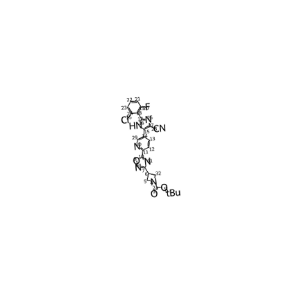 CC(C)(C)OC(=O)N1CC(c2noc(-c3ccc(-c4[nH]c(-c5c(F)cccc5Cl)nc4C#N)cn3)n2)C1